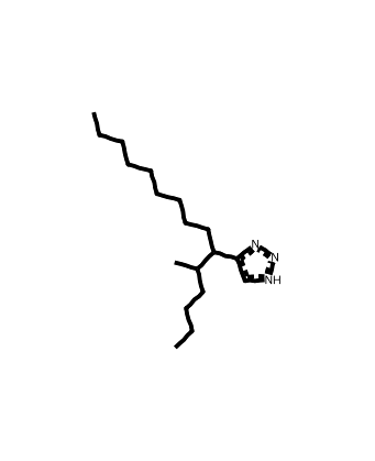 CCCCCCCCCC(c1c[nH]nn1)C(C)CCCC